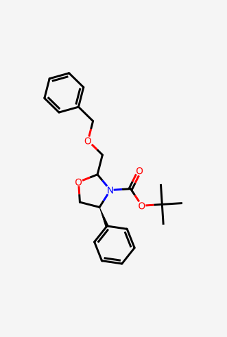 CC(C)(C)OC(=O)N1C(COCc2ccccc2)OC[C@@H]1c1ccccc1